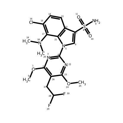 COc1nc(-n2cc(S(N)(=O)=O)c3ccc(Cl)c(N(C)C)c32)nc(OC)c1CC(F)F